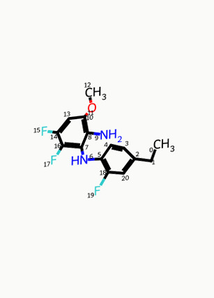 CCc1ccc(Nc2c(N)c(OC)cc(F)c2F)c(F)c1